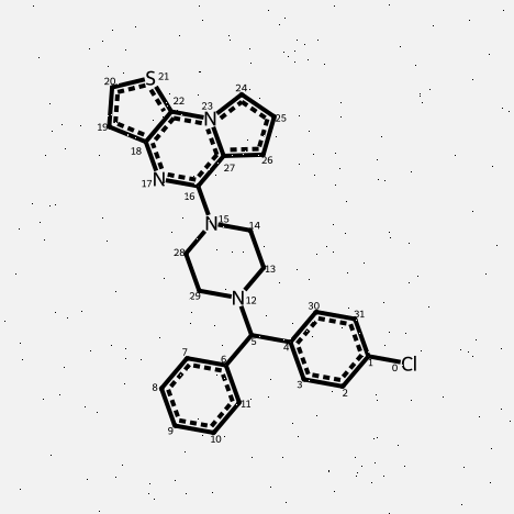 Clc1ccc(C(c2ccccc2)N2CCN(c3nc4ccsc4n4cccc34)CC2)cc1